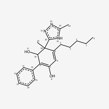 CCCCCC1=CC(O)=C(c2ccccc2)C(O)C1(C)c1nnc(C)[nH]1